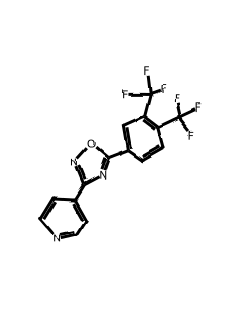 FC(F)(F)c1ccc(-c2nc(-c3ccncc3)no2)cc1C(F)(F)F